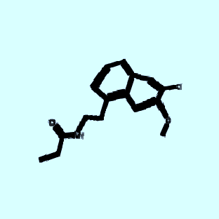 CCC(=O)NCCc1cccc2cc(Cl)c(OC)cc12